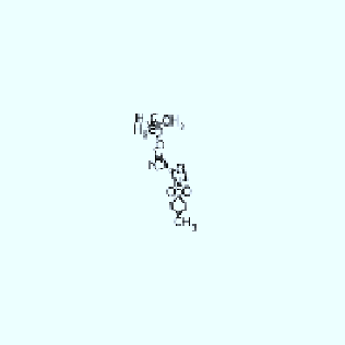 Cc1ccc(S(=O)(=O)N2CCO[C@@H](c3cnn(COCC[Si](C)(C)C)c3)C2)cc1